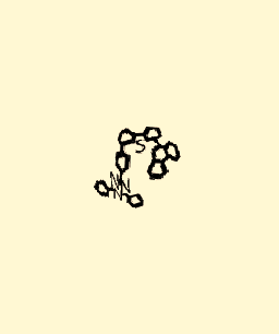 c1ccc(-c2nc(-c3ccccc3)nc(-c3ccc(-c4cccc5c4sc4c(-c6cc7ccccc7c7ccccc67)cccc45)cc3)n2)cc1